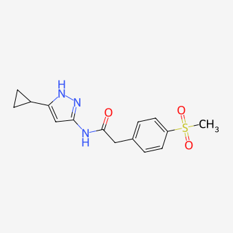 CS(=O)(=O)c1ccc(CC(=O)Nc2cc(C3CC3)[nH]n2)cc1